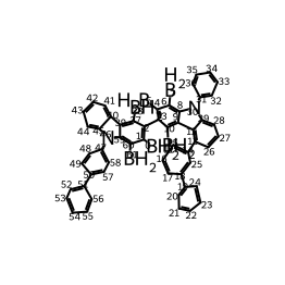 Bc1c(-c2c(B)c(B)c3c(c2B)c2c(-c4cccc(-c5ccccc5)c4)cccc2n3-c2ccccc2)c(B)c2c3ccccc3n(-c3ccc(-c4ccccc4)cc3)c2c1B